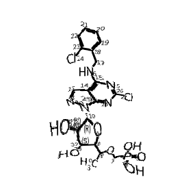 C[C@H](OCP(=O)(O)O)C1O[C@@H](n2ncc3c(NCc4ccccc4Cl)nc(Cl)nc32)[C@H](O)[C@@H]1O